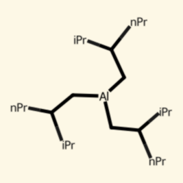 CCCC([CH2][Al]([CH2]C(CCC)C(C)C)[CH2]C(CCC)C(C)C)C(C)C